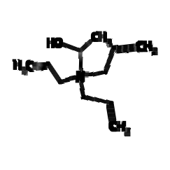 C=CC[N+](CC=C)(CC=C)C(C)O